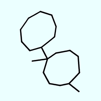 CC1CCCCC(C)(C2CCCCCCCC2)CCC1